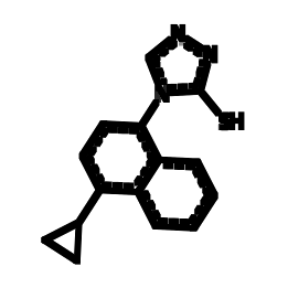 Sc1nncn1-c1ccc(C2CC2)c2ccccc12